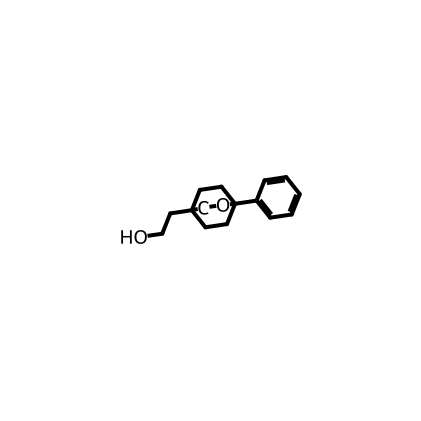 OCCC12CCC(c3ccccc3)(CC1)OC2